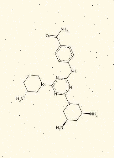 NC(=O)c1ccc(Nc2nc(N3CCC[C@@H](N)C3)nc(N3C[C@H](N)C[C@H](N)C3)n2)cc1